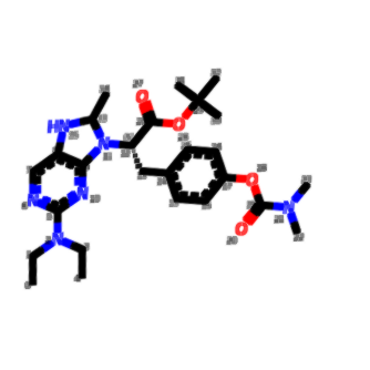 CCN(CC)c1ncc2c(n1)N([C@@H](Cc1ccc(OC(=O)N(C)C)cc1)C(=O)OC(C)(C)C)C(C)N2